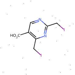 O=C(O)c1cnc(CI)nc1CI